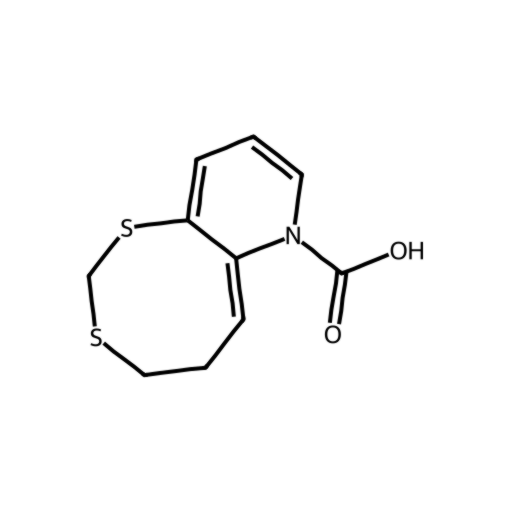 O=C(O)N1C=CC=C2SCSCC/C=C\21